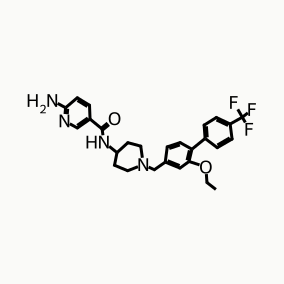 CCOc1cc(CN2CCC(NC(=O)c3ccc(N)nc3)CC2)ccc1-c1ccc(C(F)(F)F)cc1